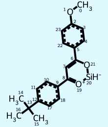 COc1ccc(C2=CC(c3ccc(C(C)(C)C)cc3)=[O+][SiH-]O2)cc1